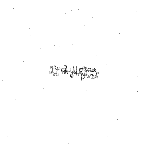 O=C(CNC(=O)OCc1ccccc1)NCC(=O)N[C@H](Cc1ccccc1)C(=O)O